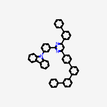 c1ccc(-c2cccc(-c3cccc(-c4ccc(-c5cc(-c6cccc(-c7ccccc7)c6)nc(-c6cccc(-n7c8ccccc8c8ccccc87)c6)n5)cc4)c3)c2)cc1